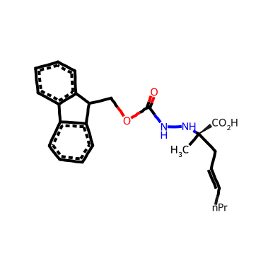 CCCC=CC[C@](C)(NNC(=O)OCC1c2ccccc2-c2ccccc21)C(=O)O